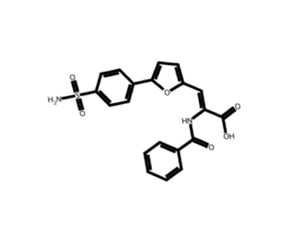 NS(=O)(=O)c1ccc(-c2ccc(C=C(NC(=O)c3ccccc3)C(=O)O)o2)cc1